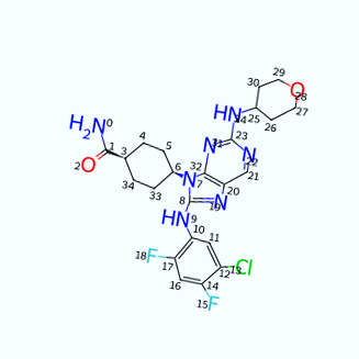 NC(=O)[C@H]1CC[C@@H](n2c(Nc3cc(Cl)c(F)cc3F)nc3cnc(NC4CCOCC4)nc32)CC1